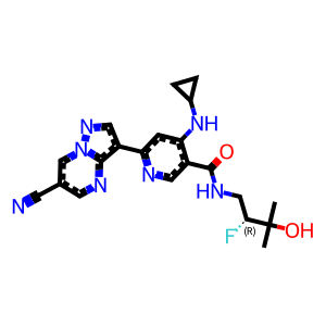 CC(C)(O)[C@H](F)CNC(=O)c1cnc(-c2cnn3cc(C#N)cnc23)cc1NC1CC1